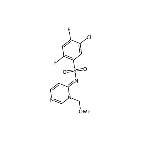 COCn1cncc/c1=N\S(=O)(=O)c1cc(Cl)c(F)cc1F